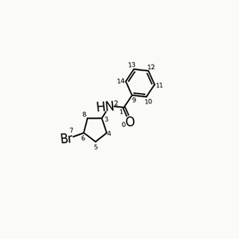 O=C(NC1CCC(Br)C1)c1ccccc1